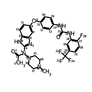 CC(=O)N(c1nc2cc(Oc3ccc(NC(=O)Nc4cc(C(F)(F)F)ccc4F)cc3)ccc2[nH]1)N1CCN(C)CC1